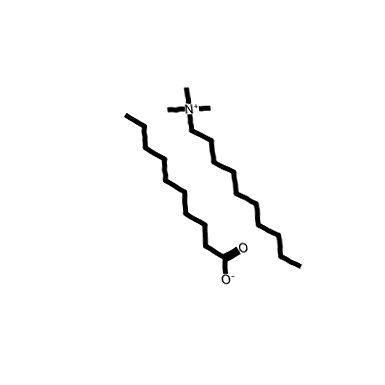 CCCCCCCCCC(=O)[O-].CCCCCCCCCC[N+](C)(C)C